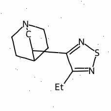 CCc1nsnc1C1CN2CCC1CC2